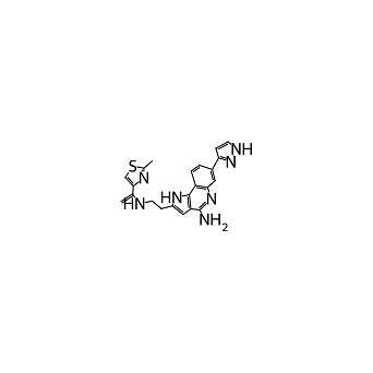 C=C(NCCc1cc2c(N)nc3cc(-c4cc[nH]n4)ccc3c2[nH]1)c1csc(C)n1